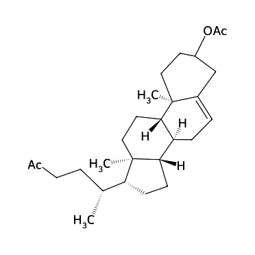 CC(=O)CC[C@@H](C)[C@H]1CC[C@H]2[C@@H]3CC=C4CC(OC(C)=O)CC[C@]4(C)[C@H]3CC[C@]12C